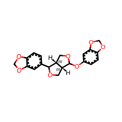 c1cc2c(cc1OC1OC[C@H]3C(c4ccc5c(c4)OCO5)OC[C@@H]13)OCO2